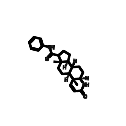 C[C@]12C=CC(=O)N[C@@H]1CC[C@@H]1[C@@H]2CC[C@]2(C)C(C(=O)Nc3ccccc3)CC[C@@H]12